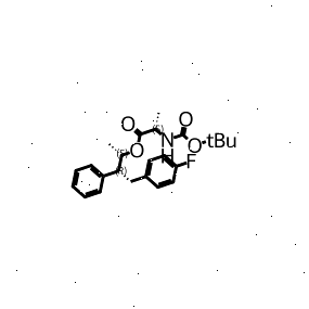 C[C@H](NC(=O)OC(C)(C)C)C(=O)O[C@@H](C)[C@H](Cc1ccc(F)cc1)c1ccccc1